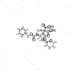 CC(C)(C)C1(C)N(C(=O)OCc2ccccc2)CC2C(C(=O)O)(C(=O)O)C21COC1CCCCO1